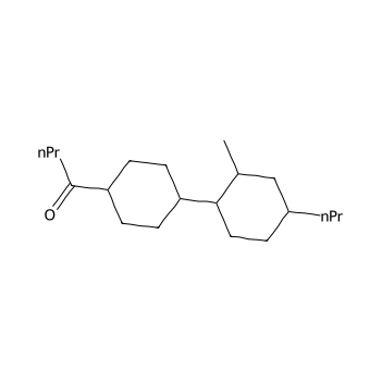 CCCC(=O)C1CCC(C2CCC(CCC)CC2C)CC1